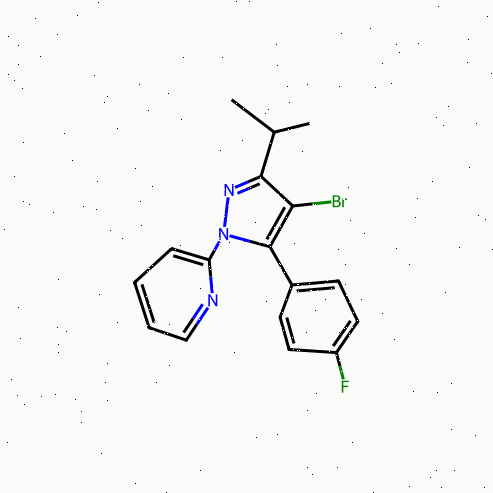 CC(C)c1nn(-c2ccccn2)c(-c2ccc(F)cc2)c1Br